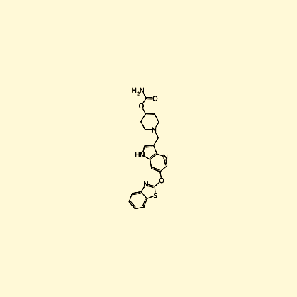 NC(=O)OC1CCN(Cc2c[nH]c3cc(Oc4nc5ccccc5s4)cnc23)CC1